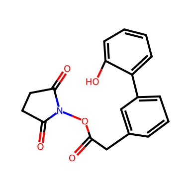 O=C(Cc1cccc(-c2ccccc2O)c1)ON1C(=O)CCC1=O